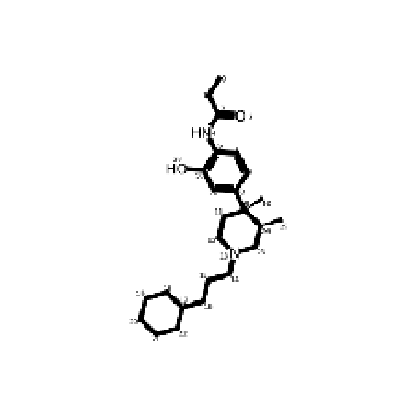 CCC(=O)Nc1ccc([C@@]2(C)CCN(CCCC3CCCCC3)C[C@@H]2C)cc1O